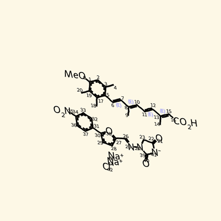 COc1cc(C)c(/C=C/C(C)=C/C=C/C(C)=C/C(=O)O)c(C)c1C.O=C1CN(N=Cc2ccc(-c3ccc([N+](=O)[O-])cc3)o2)C(=O)[N-]1.[Cl-].[Na+].[Na+]